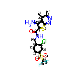 Cc1nnc2sc(C(=O)NCc3ccc(S(=O)(=O)C(F)F)cc3Cl)c(N)c2c1C